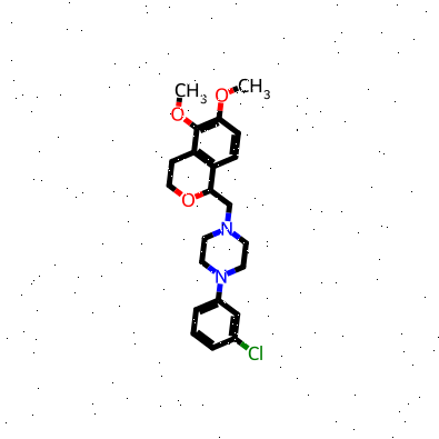 COc1ccc2c(c1OC)CCOC2CN1CCN(c2cccc(Cl)c2)CC1